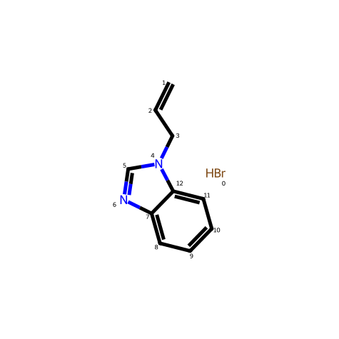 Br.C=CCn1cnc2ccccc21